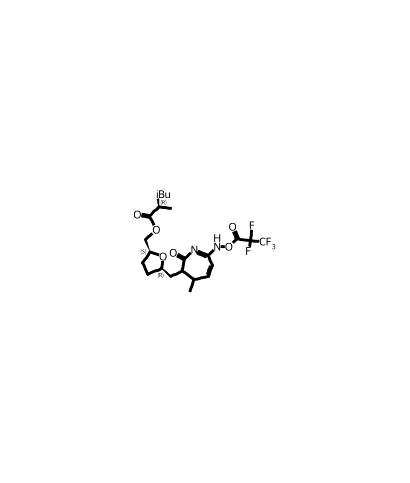 CCC(C)[C@@H](C)C(=O)OC[C@@H]1CC[C@H](CC2C(=O)N=C(NOC(=O)C(F)(F)C(F)(F)F)C=CC2C)O1